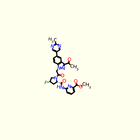 COC(=O)c1cccc(NC(=O)[C@@H]2C[C@@H](F)CN2C(=O)Cn2nc(C(C)=O)c3cc(-c4cnc(C)nc4)ccc32)n1